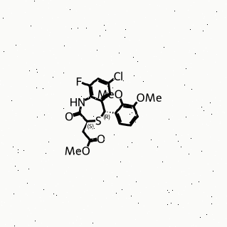 COC(=O)C[C@@H]1S[C@@H](c2cccc(OC)c2OC)c2cc(Cl)cc(F)c2NC1=O